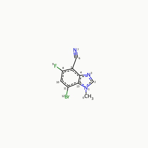 Cn1cnc2c(C#N)c(F)cc(Br)c21